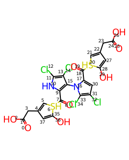 O=C(O)CC1=C[SH](C(=O)c2[nH]c(Cl)c(Cl)c2-n2c(C(=O)[SH]3C=C(CC(=O)O)C=C3O)cc(Cl)c2Cl)C(O)=C1